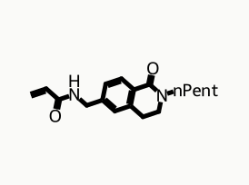 C=CC(=O)NCc1ccc2c(c1)CCN(CCCCC)C2=O